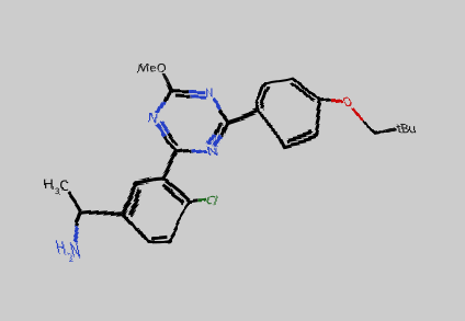 COc1nc(-c2ccc(OCC(C)(C)C)cc2)nc(-c2cc(C(C)N)ccc2Cl)n1